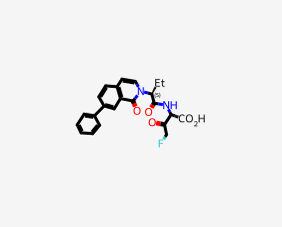 CC[C@@H](C(=O)NC(C(=O)O)C(=O)CF)n1ccc2ccc(-c3ccccc3)cc2c1=O